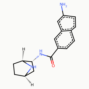 Nc1ccc2ccc(C(=O)N[C@@H]3C[C@H]4CC[C@@H]3N4)cc2c1